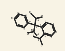 CC(C)c1ccccc1C(c1ccccc1)(C(C)C)C(C)C